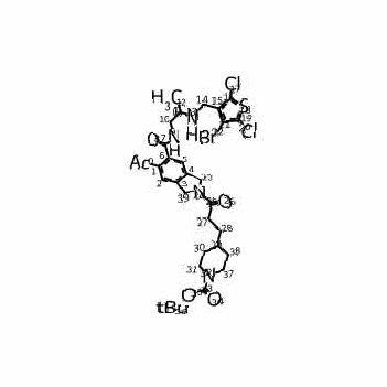 CC(=O)c1cc2c(cc1C(=O)NC[C@@H](C)NCc1c(Cl)sc(Cl)c1Br)CN(C(=O)CCC1CCN(C(=O)OC(C)(C)C)CC1)C2